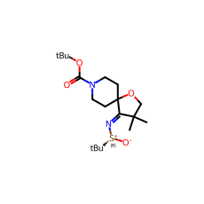 CC(C)(C)OC(=O)N1CCC2(CC1)OCC(C)(C)C2=N[S@@+]([O-])C(C)(C)C